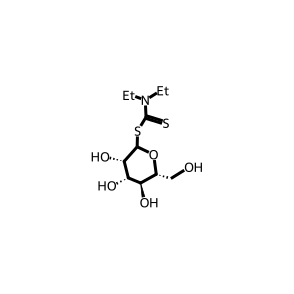 CCN(CC)C(=S)SC1O[C@H](CO)[C@@H](O)[C@H](O)[C@@H]1O